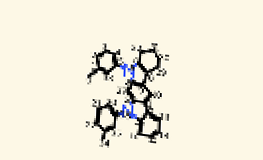 Cc1cccc(-n2c3c(c4cc5c6ccccc6n(-c6cccc(C)c6)c5cc42)CCCC3)c1